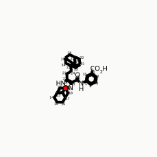 O=C(O)c1cccc(NC(=O)c2nc(C3C4CCCC3CCC4)[nH]c2CCC23CC4CC(CC(C4)C2)C3)c1